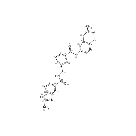 CN1CCc2ccc(NC(=O)c3cccc(CNC(=O)c4ccc5[nH]c(N)nc5c4)c3)cc2C1